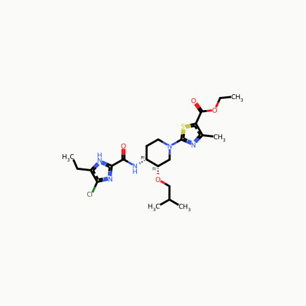 CCOC(=O)c1sc(N2CC[C@@H](NC(=O)c3nc(Cl)c(CC)[nH]3)[C@@H](OCC(C)C)C2)nc1C